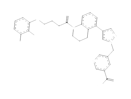 Cc1cccc(OCCCC(=O)N2CCCc3c(-c4cnn(Cc5cncc(C(=O)O)c5)c4)cccc32)c1C